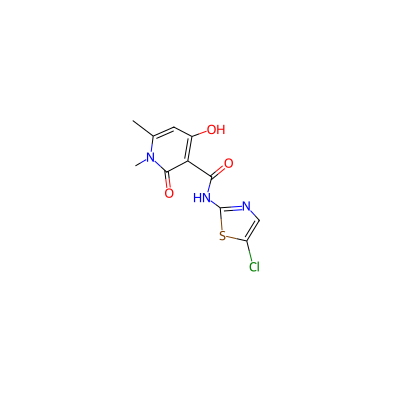 Cc1cc(O)c(C(=O)Nc2ncc(Cl)s2)c(=O)n1C